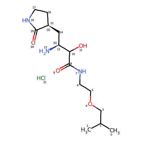 CC(C)COCCNC(=O)C(O)[C@@H](N)C[C@@H]1CCNC1=O.Cl